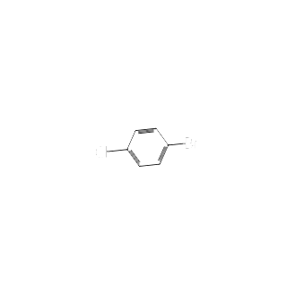 Clc1[c]cc(Br)[c]c1